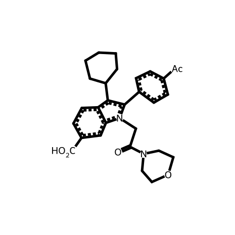 CC(=O)c1ccc(-c2c(C3CCCCC3)c3ccc(C(=O)O)cc3n2CC(=O)N2CCOCC2)cc1